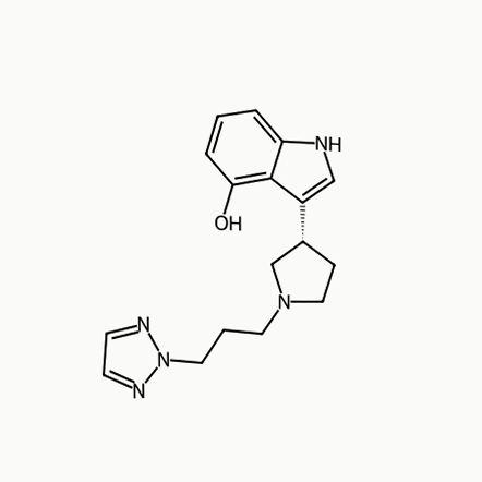 Oc1cccc2[nH]cc([C@@H]3CCN(CCCn4nccn4)C3)c12